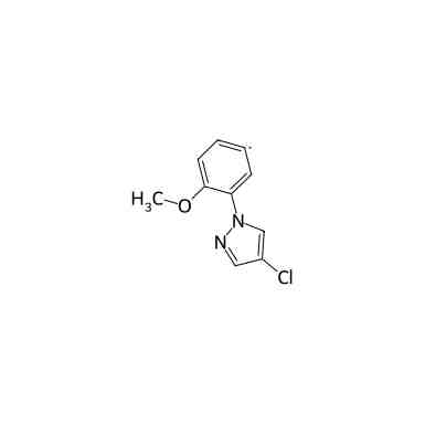 COc1cc[c]cc1-n1cc(Cl)cn1